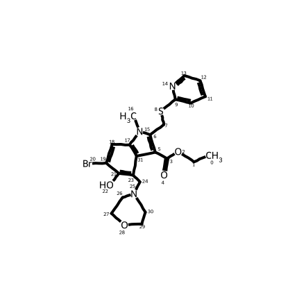 CCOC(=O)c1c(CSc2ccccn2)n(C)c2cc(Br)c(O)c(CN3CCOCC3)c12